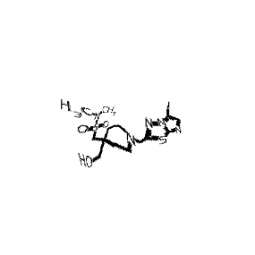 CN(C)S(=O)(=O)CC1(CO)CCN(c2nn3c(I)cnc3s2)CC1